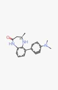 C[C@@H]1CC(=O)Nc2cccc(-c3c#cc(N(C)C)cc3)c2N1